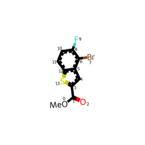 COC(=O)c1cc2c(Br)c(F)ccc2s1